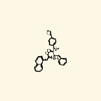 CN(C(=O)C(Cc1ccccc1)NC(=O)Cc1cccc2ccccc12)c1ccc(Cl)cc1